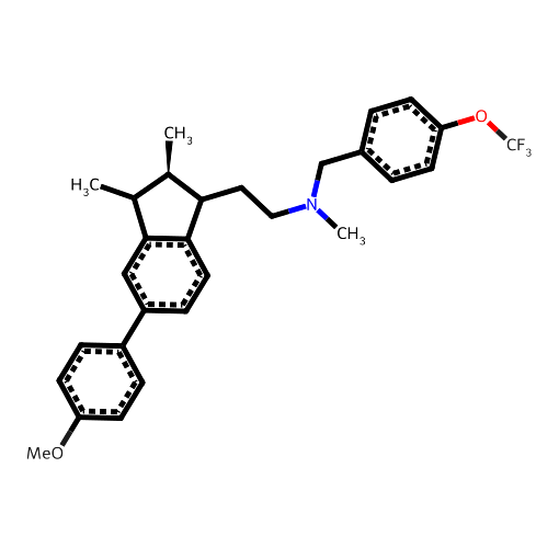 COc1ccc(-c2ccc3c(c2)C(C)[C@@H](C)C3CCN(C)Cc2ccc(OC(F)(F)F)cc2)cc1